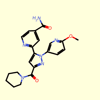 COc1ccc(-n2nc(C(=O)N3CCCCC3)cc2-c2cc(C(N)=O)ccn2)cn1